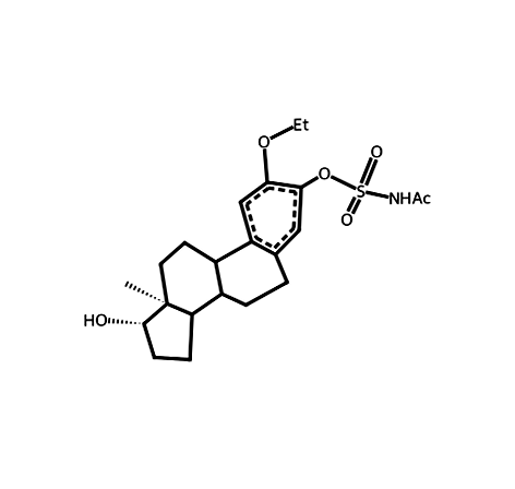 CCOc1cc2c(cc1OS(=O)(=O)NC(C)=O)CCC1C2CC[C@@]2(C)C1CC[C@@H]2O